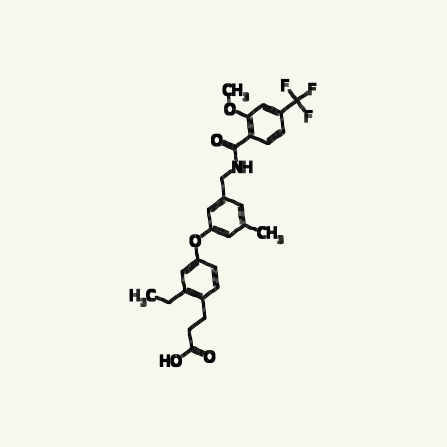 CCc1cc(Oc2cc(C)cc(CNC(=O)c3ccc(C(F)(F)F)cc3OC)c2)ccc1CCC(=O)O